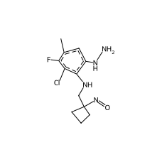 Cc1cc(NN)c(NCC2(N=O)CCC2)c(Cl)c1F